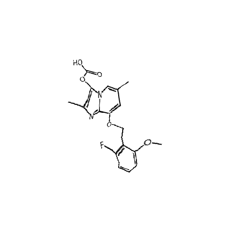 COc1cccc(F)c1COc1cc(C)cn2c(OC(=O)O)c(C)nc12